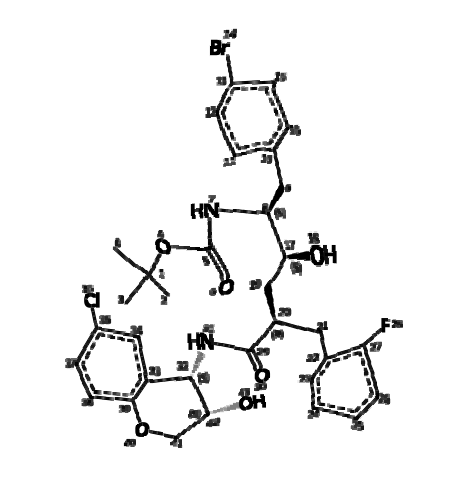 CC(C)(C)OC(=O)N[C@@H](Cc1ccc(Br)cc1)[C@@H](O)C[C@@H](Cc1ccccc1F)C(=O)N[C@H]1c2cc(Cl)ccc2OC[C@H]1O